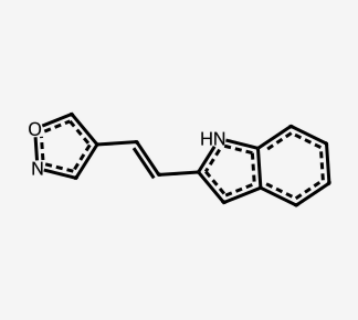 C(=C\c1cc2ccccc2[nH]1)/c1cnoc1